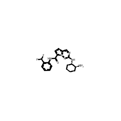 N[C@H]1CCCC[C@H]1Nc1ncc2ccc(C(=O)Nc3ccccc3C(F)F)n2n1